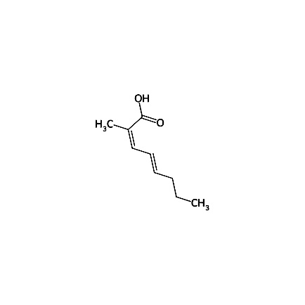 CCCC=CC=C(C)C(=O)O